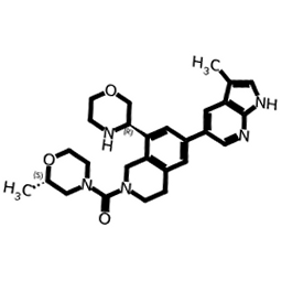 Cc1c[nH]c2ncc(-c3cc4c(c([C@@H]5COCCN5)c3)CN(C(=O)N3CCO[C@@H](C)C3)CC4)cc12